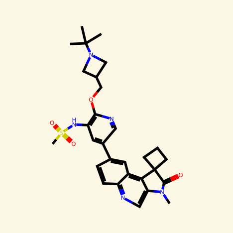 CN1C(=O)C2(CCC2)c2c1cnc1ccc(-c3cnc(OCC4CN(C(C)(C)C)C4)c(NS(C)(=O)=O)c3)cc21